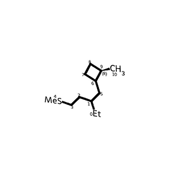 CCC(CCSC)CC1CC[C@H]1C